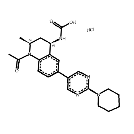 CC(=O)N1c2ccc(-c3cnc(N4CCCCC4)nc3)cc2[C@H](NC(=O)O)C[C@@H]1C.Cl